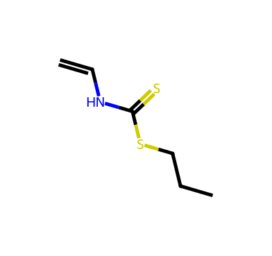 C=CNC(=S)SCCC